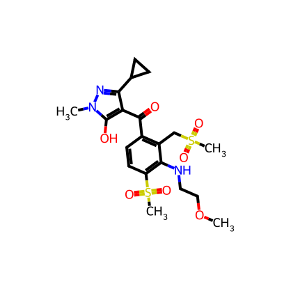 COCCNc1c(S(C)(=O)=O)ccc(C(=O)c2c(C3CC3)nn(C)c2O)c1CS(C)(=O)=O